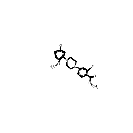 COC(=O)c1ccc(N2CCN(c3cc(Cl)ccc3OC)CC2)cc1F